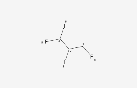 FCC(I)C(F)I